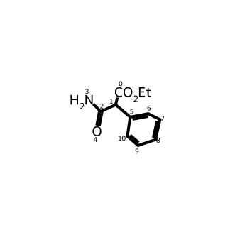 CCOC(=O)C(C(N)=O)c1ccccc1